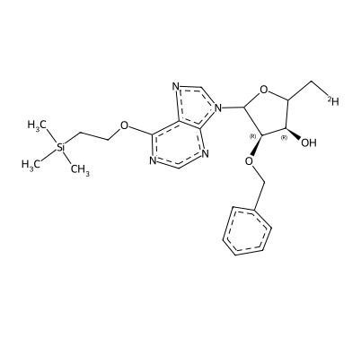 [2H]CC1OC(n2cnc3c(OCC[Si](C)(C)C)ncnc32)[C@H](OCc2ccccc2)[C@@H]1O